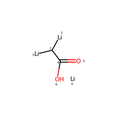 [Li].[Li][CH]([Li])C(=O)O